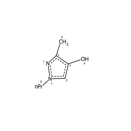 CCCn1cc(O)c(C)n1